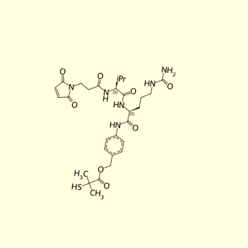 CC(C)[C@H](NC(=O)CCN1C(=O)C=CC1=O)C(=O)N[C@@H](CCCNC(N)=O)C(=O)Nc1ccc(COC(=O)C(C)(C)S)cc1